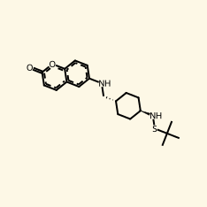 CC(C)(C)SN[C@H]1CC[C@H](CNc2ccc3oc(=O)ccc3c2)CC1